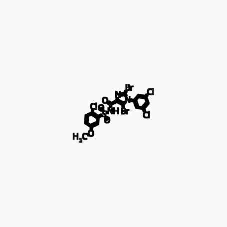 COc1ccc(Cl)c(S(=O)(=O)NC(=O)c2nc(Br)n(-c3cc(Cl)cc(Cl)c3)c2Br)c1